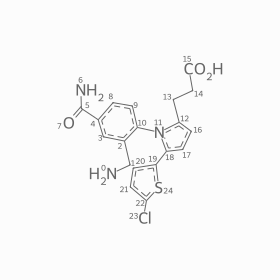 NCc1cc(C(N)=O)ccc1-n1c(CCC(=O)O)ccc1-c1ccc(Cl)s1